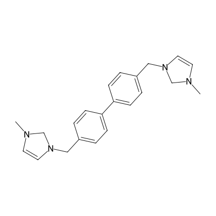 CN1C=CN(Cc2ccc(-c3ccc(CN4C=CN(C)C4)cc3)cc2)C1